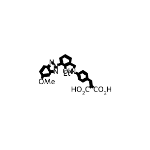 CCN(Cc1cccc(-n2nc3ccc(OC)cc3n2)c1O)c1ccc(C=C(C(=O)O)C(=O)O)cc1